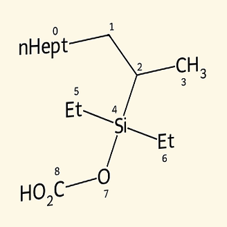 CCCCCCCCC(C)[Si](CC)(CC)OC(=O)O